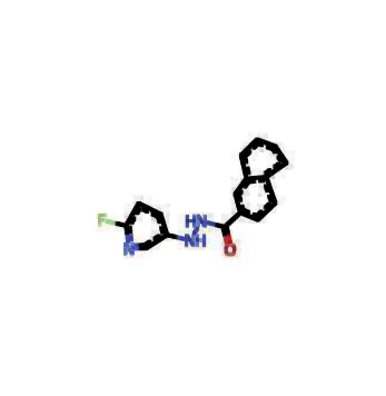 O=C(NNc1ccc(F)nc1)c1ccc2ccccc2c1